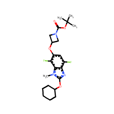 Cn1c(OC2CCCCC2)nc2c(F)cc(OC3CN(C(=O)OC(C)(C)C)C3)c(F)c21